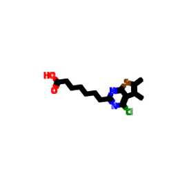 Cc1sc2nc(CCCCCCC(=O)O)nc(Cl)c2c1C